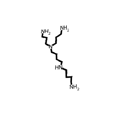 NCCCNCCCCN(CCCN)CCCN